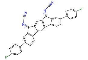 N#C/N=c1/c2cc(-c3ccc(F)cc3)ccc2c2cc3c(cc12)/c(=N/C#N)c1cc(-c2ccc(F)cc2)ccc13